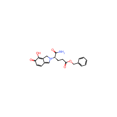 NC(=O)[C@@H](CCC(=O)OCc1ccccc1)N1C=C2C=CC(=O)C(O)=C2C1